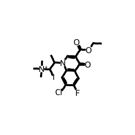 CCOC(=O)c1cn(C(C)C(I)[N+](C)(C)C)c2cc(Cl)c(F)cc2c1=O